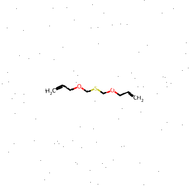 C=CCOCSCOCC=C